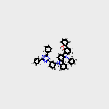 c1ccc(-c2nc(-c3ccccc3)nc(-c3cccc(-n4c5ccccc5c5c4ccc4c6c7oc8ccccc8c7ccc6n(-c6ccccc6)c45)c3)n2)cc1